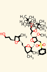 C=C1C[C@H](CCCO)O[C@H]1CC[C@H]1C[C@@H](C)C(=C)[C@@H](C[C@@H]2O[C@H](CC(CO[Si](C)(C)C(C)(C)C)O[Si](C)(C)C(C)(C)C)[C@H](OC)[C@H]2CS(=O)(=O)c2ccccc2)O1